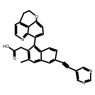 Cc1cc2cc(C#Cc3cncnc3)ccc2c(-c2ccc3c4c(ccnc24)CCO3)c1CC(=O)O